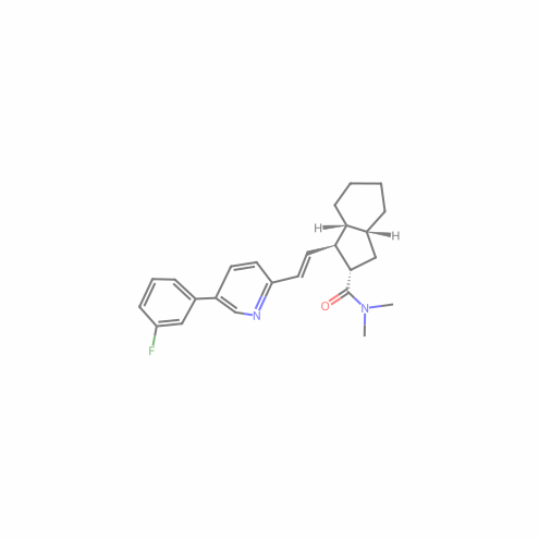 CN(C)C(=O)[C@H]1C[C@H]2CCCC[C@H]2[C@@H]1/C=C/c1ccc(-c2cccc(F)c2)cn1